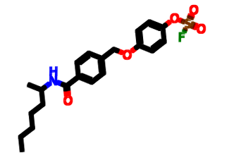 CCCCCC(C)NC(=O)c1ccc(COc2ccc(OS(=O)(=O)F)cc2)cc1